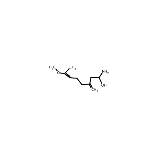 C=C(CC/C=C(\C)OC)CC(N)O